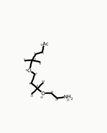 CC(=O)CCC(C)(C)OCCC(C)(C)OCCN